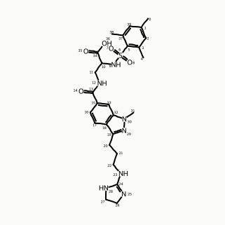 Cc1cc(C)c(S(=O)(=O)NC(CNC(=O)c2ccc3c(CCCNC4=NCCN4)nn(C)c3c2)C(=O)O)c(C)c1